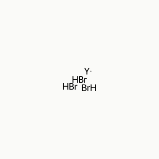 Br.Br.Br.[Y]